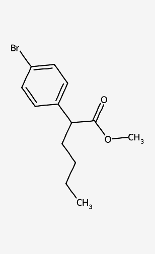 CCCCC(C(=O)OC)c1ccc(Br)cc1